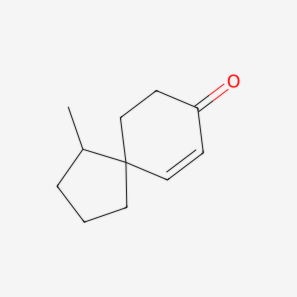 CC1CCCC12C=CC(=O)CC2